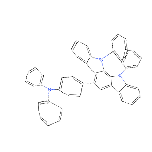 c1ccc(N(c2ccccc2)c2ccc(-c3cc4c5ccccc5n(-c5ccccc5)c4c4c3c3ccccc3n4-c3ccccc3)cc2)cc1